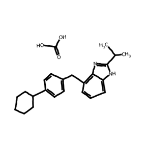 CC(C)c1nc2c(Cc3ccc(C4CCCCC4)cc3)cccc2[nH]1.O=C(O)O